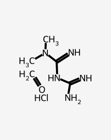 C=O.CN(C)C(=N)NC(=N)N.Cl